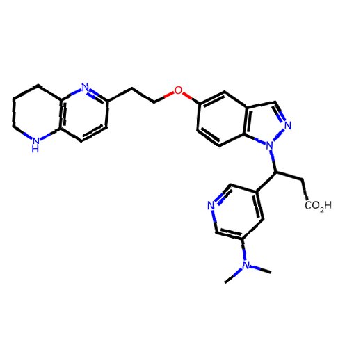 CN(C)c1cncc(C(CC(=O)O)n2ncc3cc(OCCc4ccc5c(n4)CCCN5)ccc32)c1